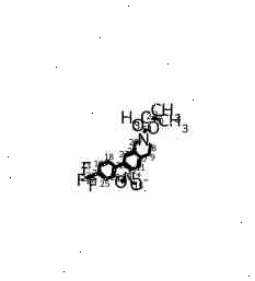 CC(C)(C)OC(=O)N1CCc2cc([N+](=O)[O-])c(-c3ccc(C(F)(F)F)cc3)cc2C1